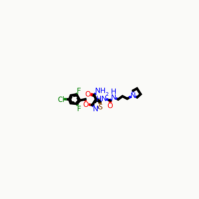 NC(=O)c1c(OCc2c(F)cc(Cl)cc2F)nsc1NC(=O)NCCCN1CCCC1